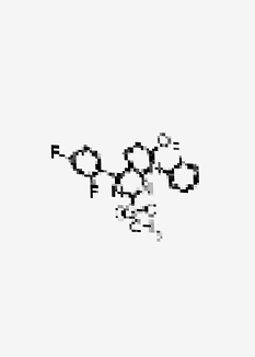 CS(=O)(=O)c1nc(-c2ccc(F)cc2F)c2ccc(=O)n(-c3ccccc3F)c2n1